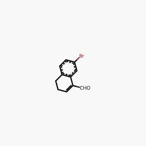 O=CC1=CCCc2ccc(Br)cc21